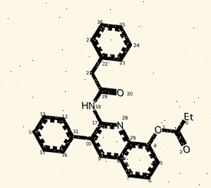 CCC(=O)Oc1cccc2cc(-c3ccccc3)c(NC(=O)Cc3ccccc3)nc12